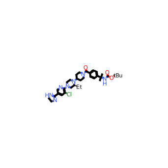 CC[C@H]1CN(c2ncc(C3=NCCN3)cc2Cl)CCN1C1CCN(C(=O)c2ccc(C(C)(C)NC(=O)OC(C)(C)C)cc2)CC1